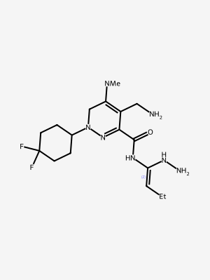 CC/C=C(\NN)NC(=O)C1=NN(C2CCC(F)(F)CC2)CC(NC)=C1CN